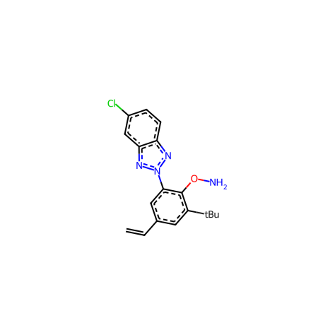 C=Cc1cc(-n2nc3ccc(Cl)cc3n2)c(ON)c(C(C)(C)C)c1